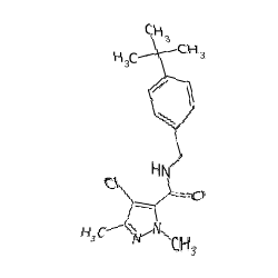 Cc1nn(C)c(C(=O)NCc2ccc(C(C)(C)C)cc2)c1Cl